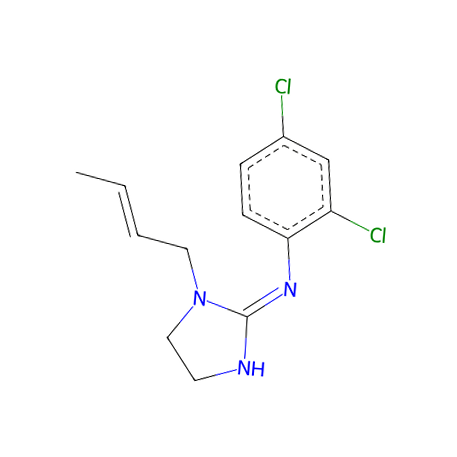 CC=CCN1CCNC1=Nc1ccc(Cl)cc1Cl